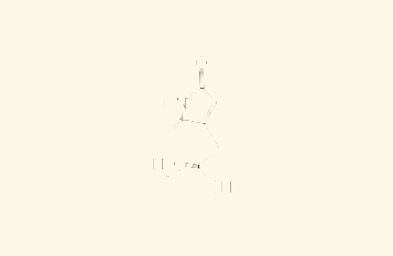 C=C(C)CC1=CC(=O)NC1=O